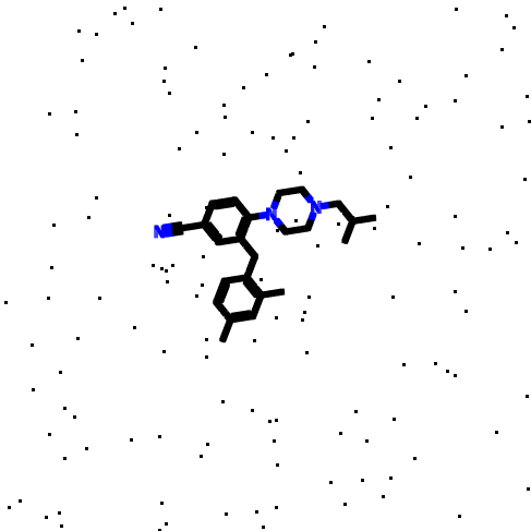 C[C](C)CN1CCN(c2ccc(C#N)cc2Cc2ccc(C)cc2C)CC1